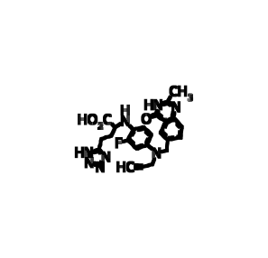 C#CCN(Cc1ccc2nc(C)[nH]c(=O)c2c1)c1ccc(NC(CCc2nnn[nH]2)C(=O)O)c(F)c1